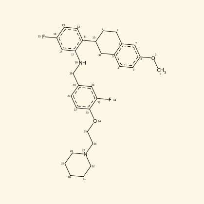 COc1ccc2c(c1)CCC(c1ccc(F)cc1NCc1ccc(OCCN3CCCCC3)c(F)c1)C2